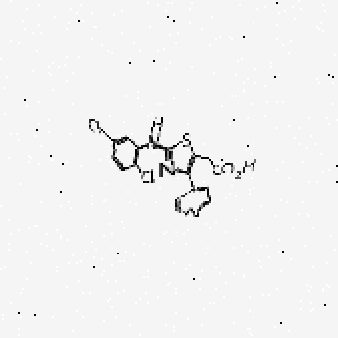 O=C(O)Cc1sc(Nc2cc(Cl)ccc2Cl)nc1-c1ccncc1